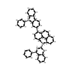 c1ccc(-c2nc(-n3c4cccc5ccc6c(-c7ccc8c9ccccc9n(-c9ccccc9)c8c7)ccc3c6c54)nc3ccccc23)cc1